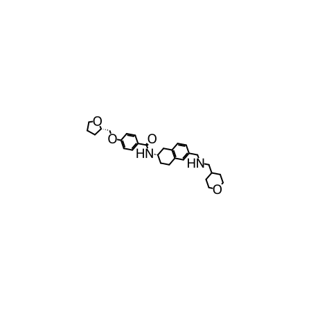 O=C(N[C@H]1CCc2cc(CNCC3CCOCC3)ccc2C1)c1ccc(OC[C@@H]2CCCO2)cc1